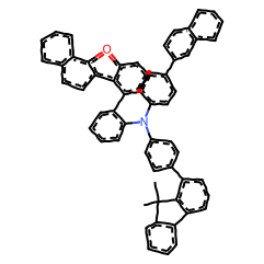 CC1(C)c2ccccc2-c2cccc(-c3ccc(N(c4ccc(-c5ccc6ccccc6c5)cc4)c4ccccc4-c4cccc5oc6c7ccccc7ccc6c45)cc3)c21